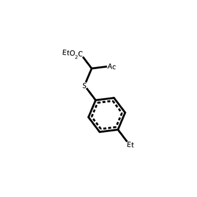 CCOC(=O)C(Sc1ccc(CC)cc1)C(C)=O